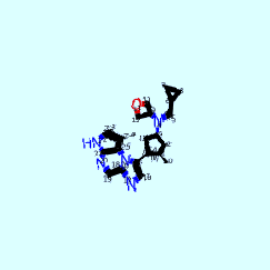 C[C@@H]1C[C@H](N(CC2CC2)C2COC2)C[C@@H]1c1cnc2cnc3[nH]ccc3n12